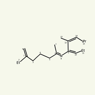 C=C(CC)CCC/C(C)=N/C(=C/CC)C(/C)=C\C(C)C